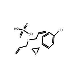 C1CO1.C=CCOCC=C.O=S(=O)(O)O.Oc1ccccc1